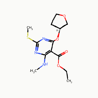 CCOC(=O)c1c(NC)nc(SC)nc1O[C@H]1CCOC1